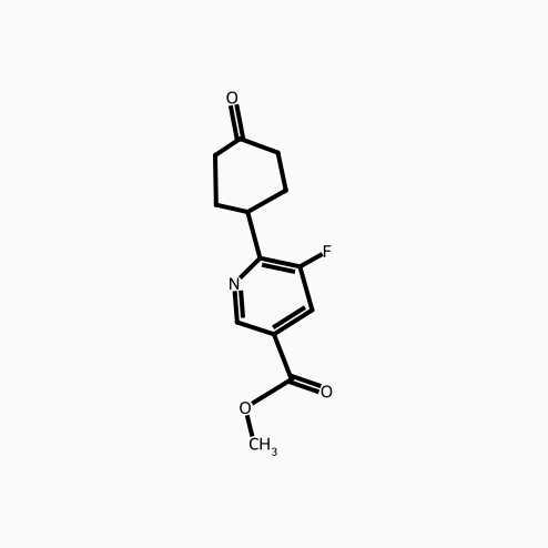 COC(=O)c1cnc(C2CCC(=O)CC2)c(F)c1